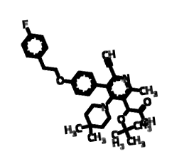 C#Cc1nc(C)c(C(OC(C)(C)C)C(=O)O)c(N2CCC(C)(C)CC2)c1-c1ccc(OCCc2ccc(F)cc2)cc1